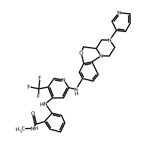 CNC(=O)c1ccccc1Nc1cc(Nc2ccc3c(c2)OCC2CN(c4cccnc4)CCN32)ncc1C(F)(F)F